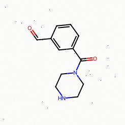 O=Cc1cccc(C(=O)N2CCNCC2)c1